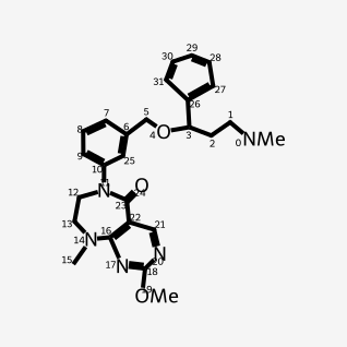 CNCCC(OCc1cccc(N2CCN(C)c3nc(OC)ncc3C2=O)c1)c1ccccc1